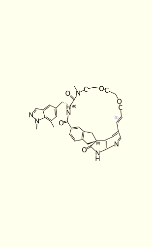 Cc1cc(C[C@H]2NC(=O)c3ccc4c(c3)C[C@@]3(C4)C(=O)Nc4ncc(cc43)/C=C/COCCOCCN(C)C2=O)cc2cnn(C)c12